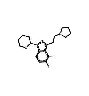 Fc1ccc2c(c(CCN3CCCC3)nn2C2CCCCO2)c1F